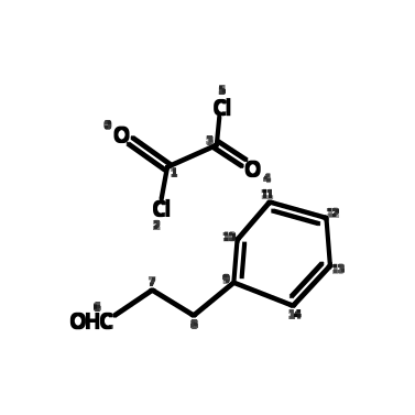 O=C(Cl)C(=O)Cl.O=CCCc1ccccc1